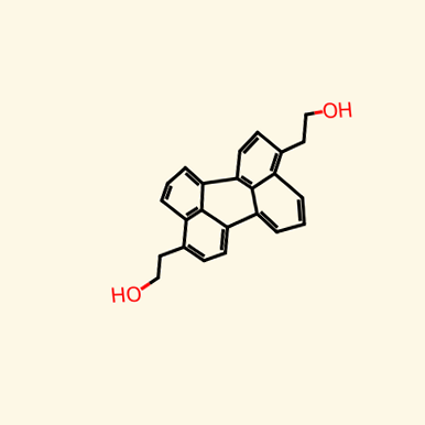 OCCc1ccc2c3cccc4c(CCO)ccc(c5cccc1c52)c43